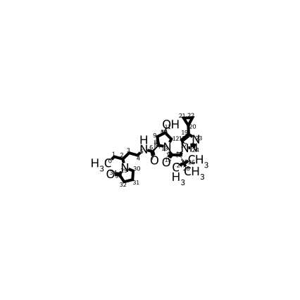 CCC(CCNC(=O)[C@H]1C[C@H](O)CN1C(=O)[C@H](n1cc(C2CC2)nn1)C(C)(C)C)N1CCCC1=O